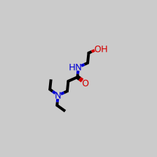 CCN(CC)CCC(=O)NCCO